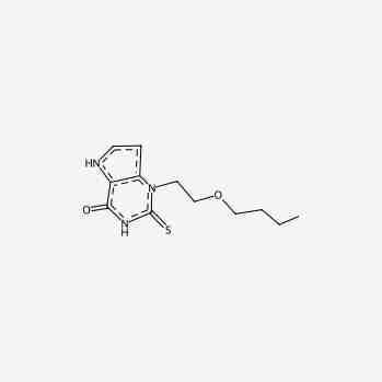 CCCCOCCn1c(=S)[nH]c(=O)c2[nH]ccc21